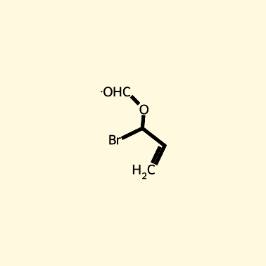 C=CC(Br)O[C]=O